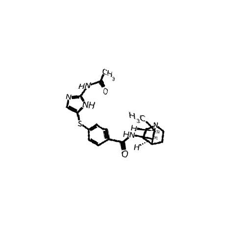 CC(=O)Nc1ncc(Sc2ccc(C(=O)N[C@@H]3C4CCN(CC4)[C@H]3C)cc2)[nH]1